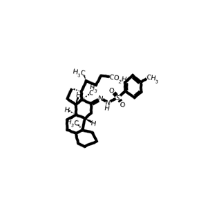 Cc1ccc(S(=O)(=O)NN=C2C[C@H]3[C@@H](CCC4CCCC[C@@]43C)[C@@H]3CC[C@H]([C@H](C)CCC(=O)O)[C@@]23C)cc1